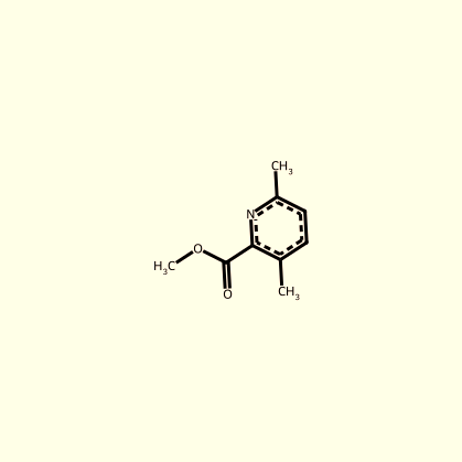 COC(=O)c1nc(C)ccc1C